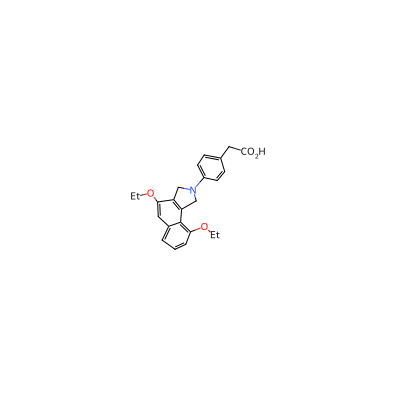 CCOc1cc2cccc(OCC)c2c2c1CN(c1ccc(CC(=O)O)cc1)C2